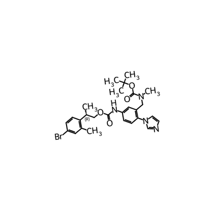 Cc1cc(Br)ccc1[C@@H](C)COC(=O)Nc1ccc(-n2ccnc2)c(CN(C)C(=O)OC(C)(C)C)c1